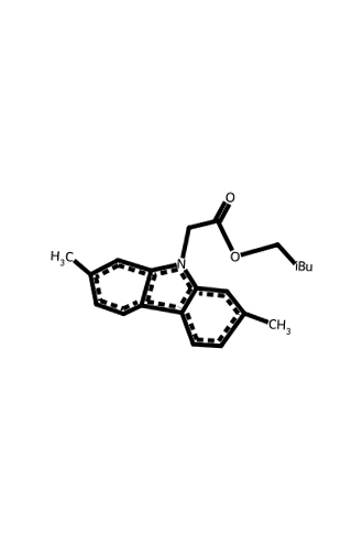 CCC(C)COC(=O)Cn1c2cc(C)ccc2c2ccc(C)cc21